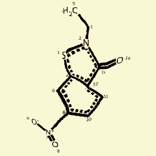 [CH2]Cn1sc2cc([N+](=O)[O-])ccc2c1=O